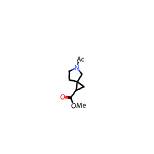 COC(=O)C1CC12CCN(C(C)=O)C2